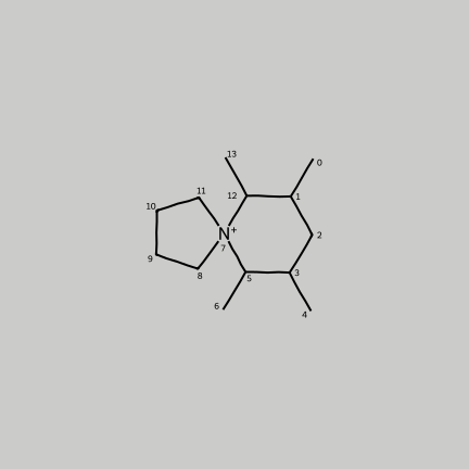 CC1CC(C)C(C)[N+]2(CCCC2)C1C